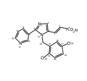 O=C(O)/C=C/c1cnc(-c2cccnc2)n1Cc1cc(Cl)ccc1Cl